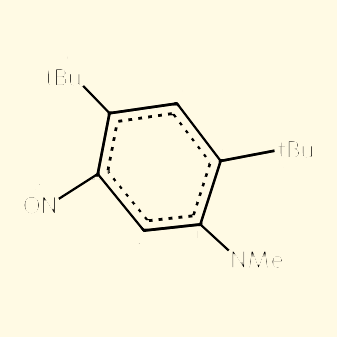 CNc1cc(N=O)c(C(C)(C)C)cc1C(C)(C)C